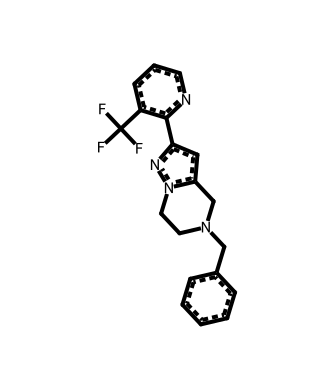 FC(F)(F)c1cccnc1-c1cc2n(n1)CCN(Cc1ccccc1)C2